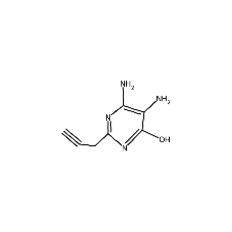 C#CCc1nc(N)c(N)c(O)n1